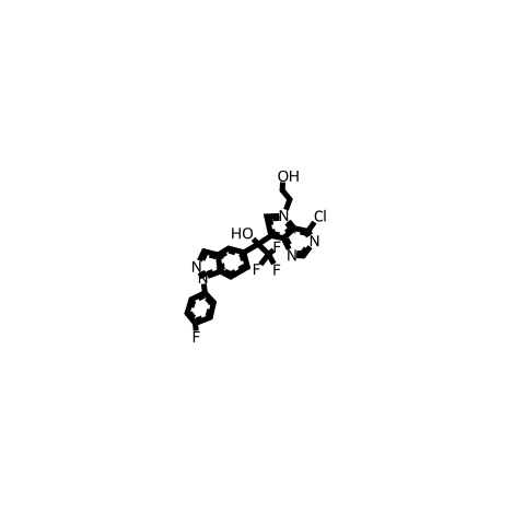 OCCn1cc(C(O)(c2ccc3c(cnn3-c3ccc(F)cc3)c2)C(F)(F)F)c2ncnc(Cl)c21